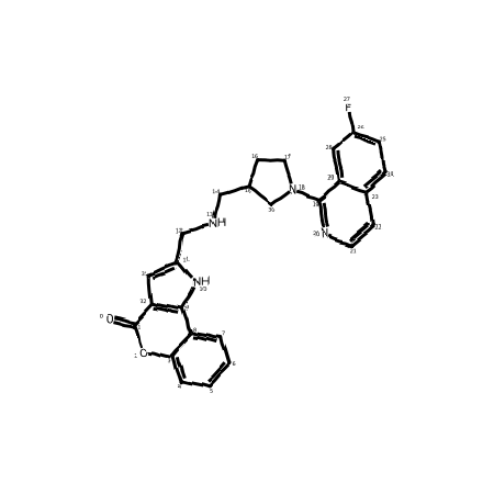 O=c1oc2ccccc2c2[nH]c(CNCC3CCN(c4nccc5ccc(F)cc45)C3)cc12